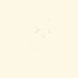 CCOc1ccc(CNc2ncc(Br)cc2[N+](=O)[O-])cc1